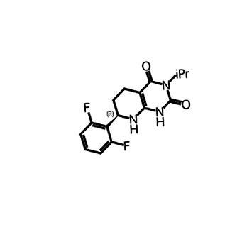 CC(C)n1c(=O)[nH]c2c(c1=O)CC[C@H](c1c(F)cccc1F)N2